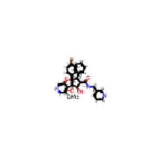 COc1cncc2c1[C@]1(O)[C@H](O)C(C(=O)NCc3cccnc3)C(c3ccccc3)C1(c1ccc(Br)cc1)O2